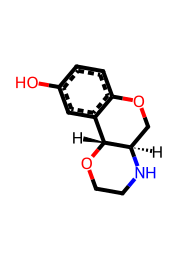 Oc1ccc2c(c1)[C@H]1OCCN[C@@H]1CO2